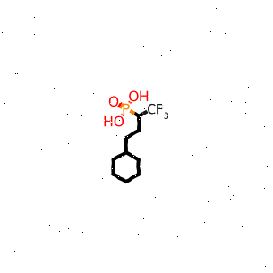 O=P(O)(O)C(CCC1CCCCC1)C(F)(F)F